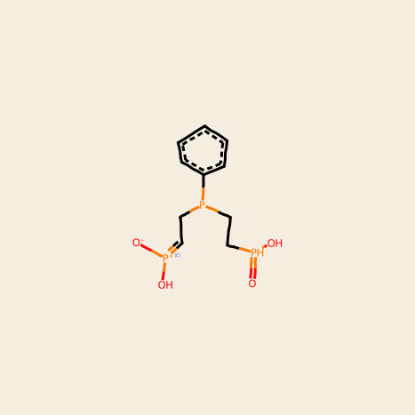 O=[PH](O)CCP(C/C=[P+](\[O-])O)c1ccccc1